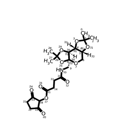 CC1(C)O[C@@H]2[C@@H](CO[C@@]3(CNC(=O)CCC(=O)OC4C(=O)CCC4=O)OC(C)(C)O[C@@H]23)O1